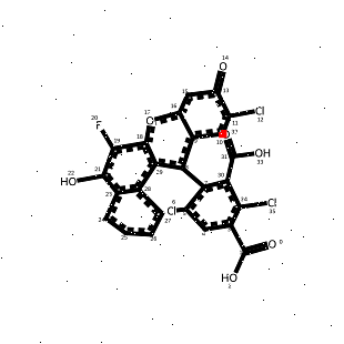 O=C(O)c1cc(Cl)c(-c2c3cc(Cl)c(=O)cc-3oc3c(F)c(O)c4ccccc4c23)c(C(=O)O)c1Cl